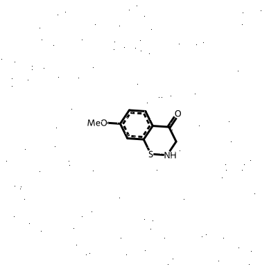 COc1ccc2c(c1)SNCC2=O